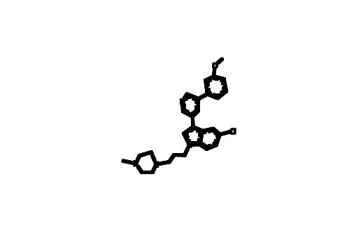 COc1cccc(-c2cncc(-c3cn(CCCN4CCN(C)CC4)c4ccc(Cl)cc34)c2)c1